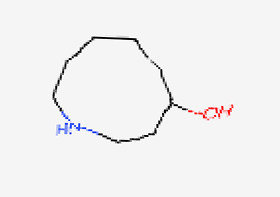 OC1CCCCCNCC1